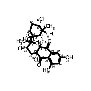 CC1(C)O[C@@]2(C[C@H]3C(C)(C)[C@@H](Cl)CC[C@]3(C)O)C(=O)c3cc(O)cc(O)c3C(=O)[C@@]2(Cl)C[C@H]1Cl